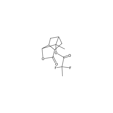 CC(F)(F)C(=O)OC1(C)C2CC3C(=O)OC1C3C2